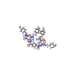 O=C(NCCc1ccc(F)cc1)C1CN(C(=O)c2ccc(C(=O)N3C[C@H](C(=O)NCCc4ccc(F)cc4)[C@@H](C(=O)NCCc4ccc(F)cc4)C3)cc2)CC1C(=O)NCCc1ccc(F)cc1